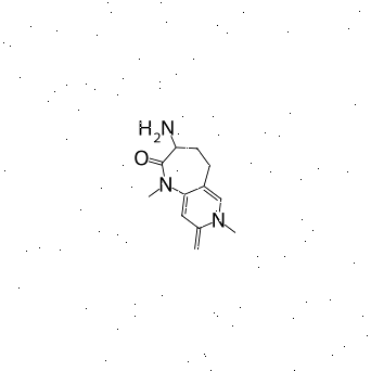 C=C1C=C2C(=CN1C)CCC(N)C(=O)N2C